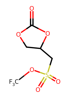 O=C1OCC(CS(=O)(=O)OC(F)(F)F)O1